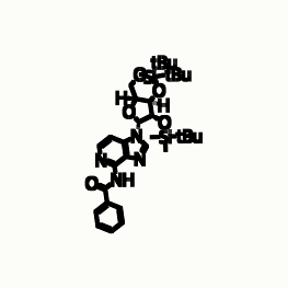 CC(C)(C)[Si](C)(C)O[C@@H]1[C@@H]2O[Si](C(C)(C)C)(C(C)(C)C)OC[C@H]2O[C@H]1n1cnc2c(NC(=O)c3ccccc3)nccc21